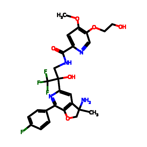 COc1cc(C(=O)NCC(O)(c2cc3c(c(-c4ccc(F)cc4)n2)OCC3(C)N)C(F)(F)F)ncc1OCCO